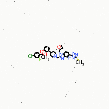 CSc1nnc(-c2ccc3c(c2)nc(CN2CCC(c4cccc5c4OC(C)(c4ccc(Cl)cc4F)O5)CC2)n3CC2CCO2)[nH]1